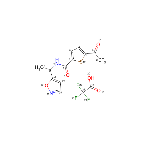 CC(NC(=O)c1ccc(C(=O)C(F)(F)F)s1)c1ccno1.O=C(O)C(F)(F)F